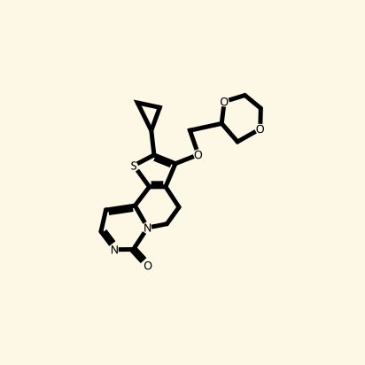 O=c1nccc2n1CCc1c-2sc(C2CC2)c1OCC1COCCO1